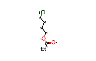 C[CH]C(=O)OCCCCCl